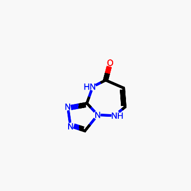 O=C1C=CNn2cnnc2N1